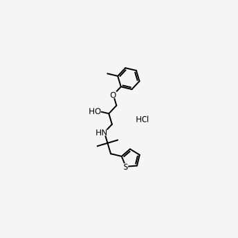 Cc1ccccc1OCC(O)CNC(C)(C)Cc1cccs1.Cl